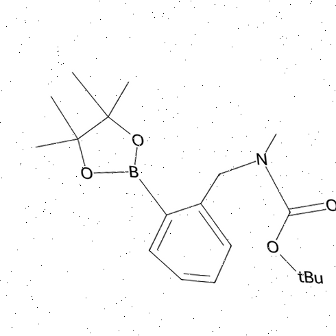 CN(Cc1ccccc1B1OC(C)(C)C(C)(C)O1)C(=O)OC(C)(C)C